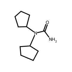 NC(=O)N(C1CCCC1)C1CCCC1